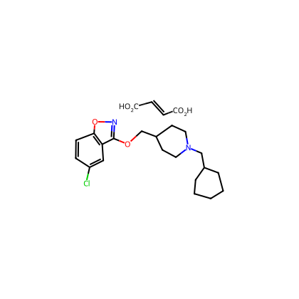 Clc1ccc2onc(OCC3CCN(CC4CCCCC4)CC3)c2c1.O=C(O)C=CC(=O)O